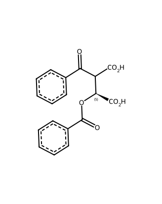 O=C(O[C@H](C(=O)O)C(C(=O)O)C(=O)c1ccccc1)c1ccccc1